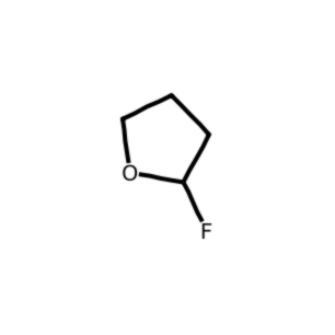 FC1CCCO1